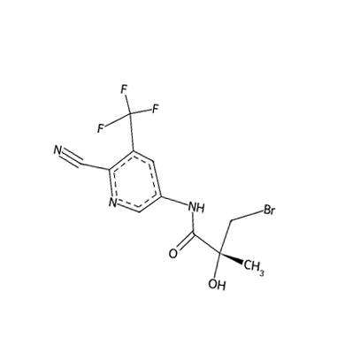 C[C@](O)(CBr)C(=O)Nc1cnc(C#N)c(C(F)(F)F)c1